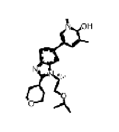 CC1=CC(c2ccc3nc(C4CCOCC4)n([C@H](C)COC(C)C)c3c2)=CN(C)C1O